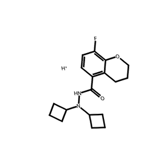 O=C(NN(C1CCC1)C1CCC1)c1ccc(F)c2c1CCCO2.[H+]